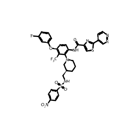 O=C(Nc1ccc(Oc2cccc(F)c2)c(C(F)(F)F)c1N1CCC[C@@H](CNS(=O)(=O)c2ccc([N+](=O)[O-])cc2)C1)c1csc(-c2ccnnc2)n1